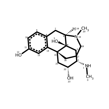 CN[C@H]1C[C@@]2(O)[C@H]3Cc4ccc(O)cc4[C@@]2(CCCN3C)C[C@H]1O